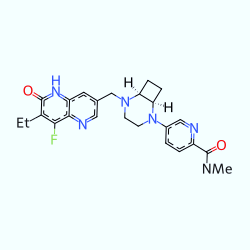 CCc1c(F)c2ncc(CN3CCN(c4ccc(C(=O)NC)nc4)[C@@H]4CC[C@@H]43)cc2[nH]c1=O